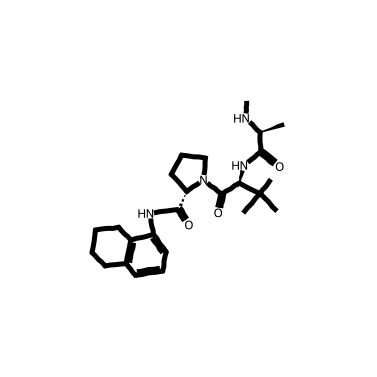 CN[C@@H](C)C(=O)N[C@H](C(=O)N1CCC[C@H]1C(=O)Nc1cccc2c1CCCC2)C(C)(C)C